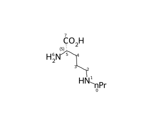 CCCNCCC[C@H](N)C(=O)O